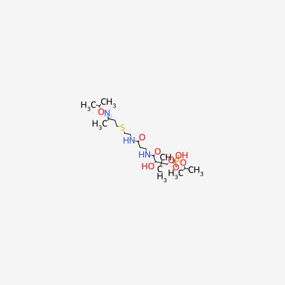 C/C(CCSCCNC(=O)CCNC(=O)C(O)C(C)(C)COP(=O)(O)OC(C)C)=N\OC(C)C